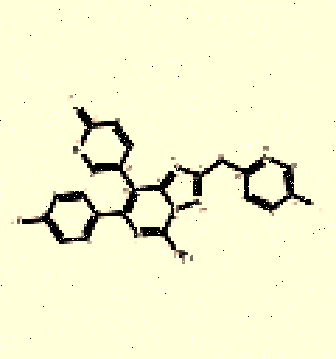 Nc1nc(-c2ccc(F)cc2)c(-c2ccc(=O)[nH]c2)c2nc(Cc3ccc(F)cn3)nn12